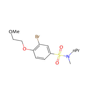 CCCN(C)S(=O)(=O)c1ccc(OCCOC)c(Br)c1